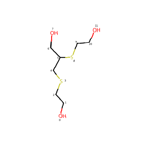 OCCSCC(CO)SCCO